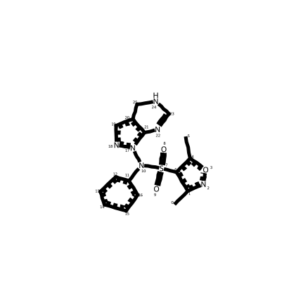 Cc1noc(C)c1S(=O)(=O)N(c1ccccc1)n1ncc2c1N=CNC2